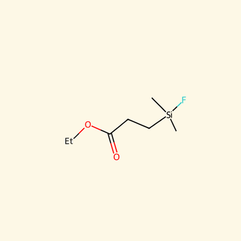 CCOC(=O)CC[Si](C)(C)F